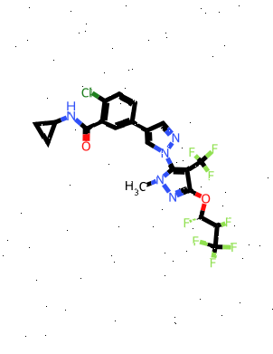 Cn1nc(O[C@@H](F)C(F)C(F)(F)F)c(C(F)(F)F)c1-n1cc(-c2ccc(Cl)c(C(=O)NC3CC3)c2)cn1